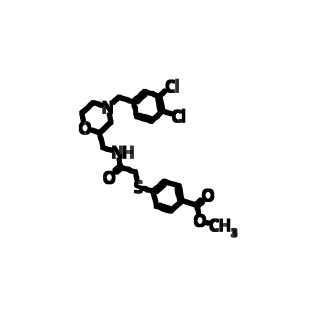 COC(=O)c1ccc(SCC(=O)NCC2CN(Cc3ccc(Cl)c(Cl)c3)CCO2)cc1